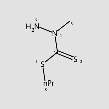 CCCSC(=S)N(C)N